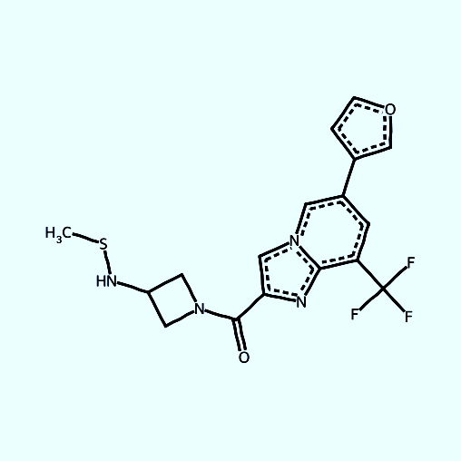 CSNC1CN(C(=O)c2cn3cc(-c4ccoc4)cc(C(F)(F)F)c3n2)C1